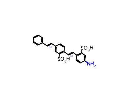 Nc1ccc(/C=C/c2ccc(/C=C/c3ccccc3)cc2S(=O)(=O)O)c(S(=O)(=O)O)c1